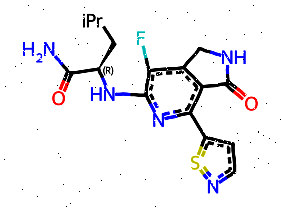 CC(C)C[C@@H](Nc1nc(-c2ccns2)c2c(c1F)CNC2=O)C(N)=O